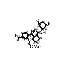 COCOc1cc(C(F)F)ccc1-c1nnc(N[C@@H]2C[C@@H](F)CN(C)C2)c2c1CCOC2